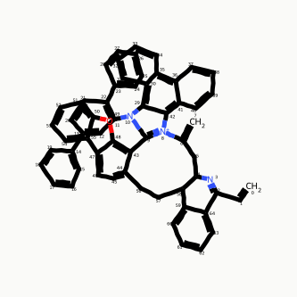 C=CC1=NC2CC(=C)[n+]3c(n(-c4cc(-c5ccccc5)ccc4-c4ccccc4)c4c5ccccc5c5ccccc5c43)-c3c(ccc4c3oc3ccccc34)CCC2c2ccccc21